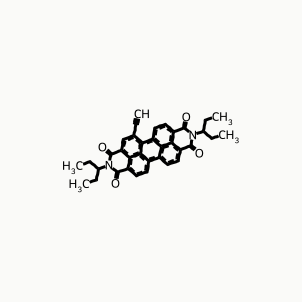 C#Cc1cc2c3c(ccc4c5ccc6c7c(ccc(c1c34)c75)C(=O)N(C(CC)CC)C6=O)C(=O)N(C(CC)CC)C2=O